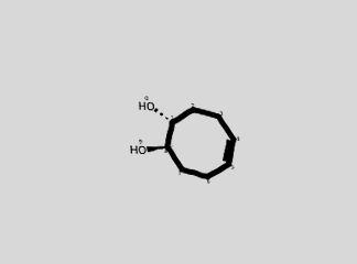 O[C@@H]1CCC=CCC[C@H]1O